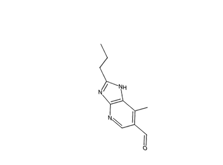 CCCc1nc2ncc(C=O)c(C)c2[nH]1